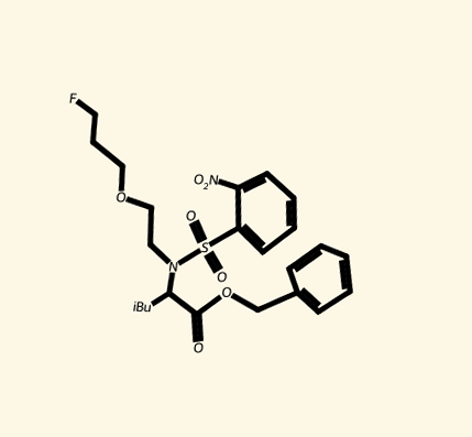 CCC(C)C(C(=O)OCc1ccccc1)N(CCOCCCF)S(=O)(=O)c1ccccc1[N+](=O)[O-]